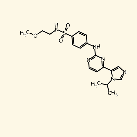 COCCNS(=O)(=O)c1ccc(Nc2nccc(-c3cncn3C(C)C)n2)cc1